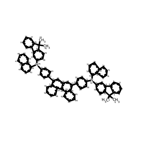 CC1(C)c2ccccc2-c2cc(N(c3ccc(-c4cc5cc(-c6ccc(N(c7ccc8c(c7)-c7ccccc7C8(C)C)c7cccc8ccccc78)cc6)c6ccccc6c5c5ccccc45)cc3)c3cccc4ccccc34)ccc21